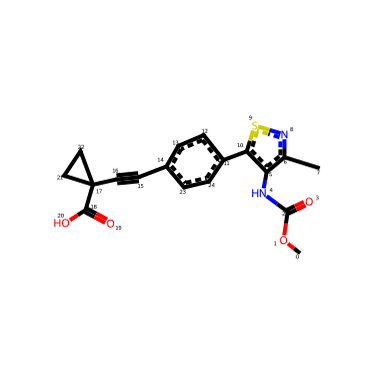 COC(=O)Nc1c(C)nsc1-c1ccc(C#CC2(C(=O)O)CC2)cc1